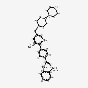 N#Cc1cc(CN2CCC(N3CCOCC3)CC2)cnc1-c1ccc(C(=O)Nc2ccccc2N)cc1